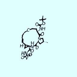 C[C@@H]1CC2C(=O)N[C@]3(C(=O)NS(C)(=O)=O)C[C@H]3/C=C\CCCCC[C@H](NC(=O)OC(C)(C)C)C(=O)N2C1